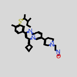 CCC(C)C(C)Sc1cc(C2=CC(=C3CCC3)N3C=C(C4=CCN(CCN=O)CC4)C=CC3=N2)ccc1C